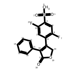 CS(=O)(=O)c1cc(F)c(C2=C(c3ccccc3)C(=O)OC2)cc1F